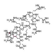 CCC(=O)N[C@H](CCCNC(=N)N)C(=O)N[C@H](CCCNC(=N)N)C(=O)N[C@H](CCCNC(=N)N)C(=O)N[C@H](CCCNC(=N)N)C(=O)N[C@H](CCCNC(=N)N)C(=O)N[C@H](CCCNC(=N)N)C(=O)N[C@H](CCCNC(=N)N)C(=O)N[C@H](CCCNC(=N)N)C(=O)N[C@H](CCCNC(=N)N)C(=O)N[C@H](CS)C(N)=O